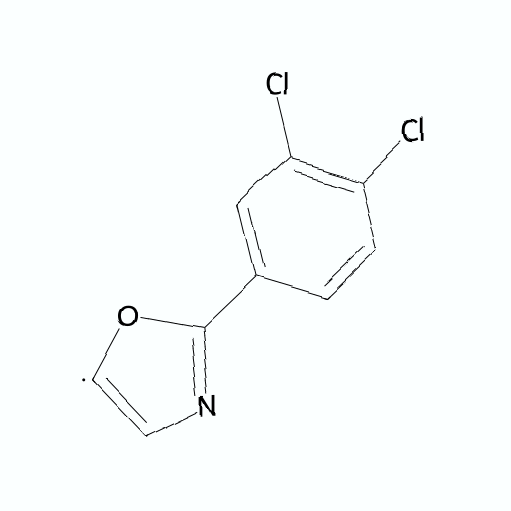 Clc1ccc(-c2nc[c]o2)cc1Cl